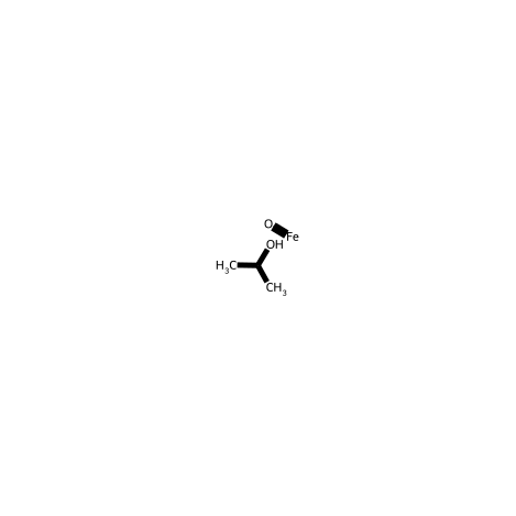 CC(C)O.[O]=[Fe]